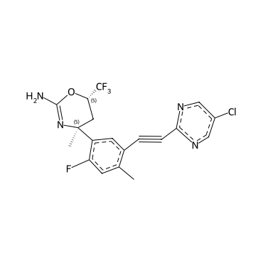 Cc1cc(F)c([C@]2(C)C[C@@H](C(F)(F)F)OC(N)=N2)cc1C#Cc1ncc(Cl)cn1